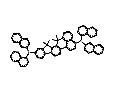 CC1(C)c2cc(N(c3ccc4ccccc4c3)c3cccc4ccccc34)ccc2-c2ccc3c(c21)C(C)(C)c1cccc2c(N(c4ccc5ccccc5c4)c4cccc5ccccc45)ccc-3c12